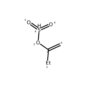 C=C(CC)O[SH](=O)=O